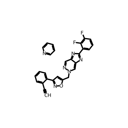 C#Cc1ccccc1-c1cc(Cn2cc3nc(-c4cccc(F)c4F)nc-3cn2)on1.c1ccncc1